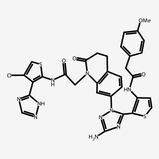 COc1ccc(CC(=O)Nc2ccsc2-c2nc(N)nn2-c2ccc3c(c2)N(CC(=O)Nc2scc(Cl)c2-c2ncn[nH]2)C(=O)CC3)cc1